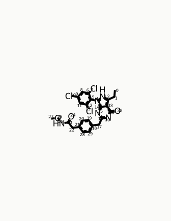 CCc1[nH]n(-c2c(Cl)cc(Cl)cc2Cl)c2nc(Cc3ccc(CC(=O)NOC)cc3)nc(=O)c1-2